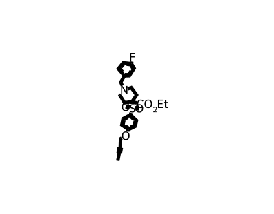 CC#CCOc1ccc(S(=O)(=O)C2(C(=O)OCC)CCN(Cc3ccc(F)cc3)CC2)cc1